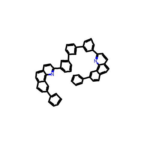 c1ccc(-c2ccc3ccc4ccc(-c5cccc(-c6cccc(-c7cccc(-c8ccc9ccc%10ccc(-c%11ccccc%11)cc%10c9n8)c7)c6)c5)nc4c3c2)cc1